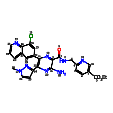 CCOC(=O)c1ccc(CNC(=O)c2nc(-c3cc(Cl)c4ncccc4c3)c(-c3ccn(C)n3)nc2N)nc1